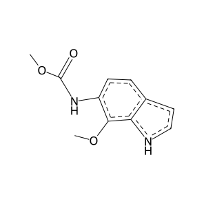 COC(=O)Nc1ccc2cc[nH]c2c1OC